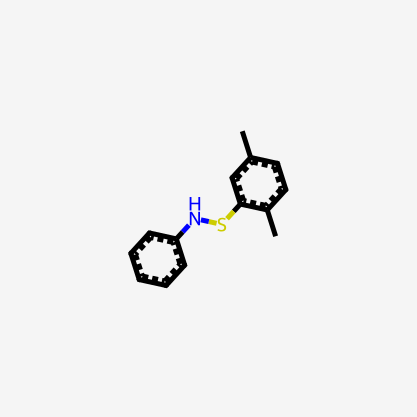 Cc1ccc(C)c(SNc2ccccc2)c1